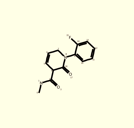 C[N]C(=O)C1C=CCN(c2ccccc2F)C1=O